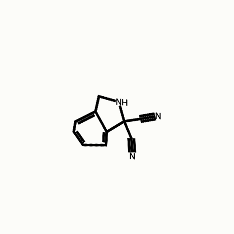 N#CC1(C#N)NCc2ccccc21